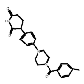 Cc1ccc(C(=O)N2CCN(c3ccc(C4CCC(=O)NC4=O)cc3)CC2)cc1